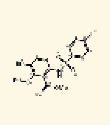 CCOc1c(Br)ccc(NS(=O)(=O)c2ccc(F)cc2)c1C(=O)OC